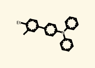 CCc1ccc(-c2ccc(N(c3ccccc3)c3ccccc3)cc2)cc1C